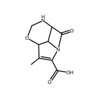 CC1=C(C(=O)O)N2C(=O)C3NCOC1C32